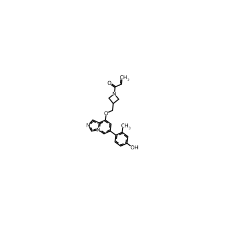 C=CC(=O)N1CC(COc2cc(-c3ccc(O)cc3C)cn3cncc23)C1